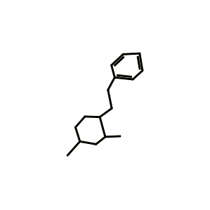 CC1CCC(CCc2ccccc2)C(C)C1